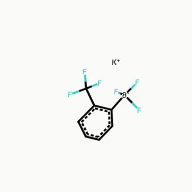 F[B-](F)(F)c1ccccc1C(F)(F)F.[K+]